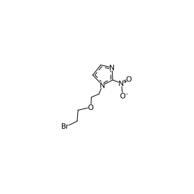 O=[N+]([O-])c1nccn1CCOCCBr